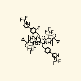 CC(C)(C(NC(=O)C1CC1)C(=O)NC(Cc1ccc(-c2cnn(C(F)F)c2)cc1)C(O)CN(Cc1c(F)cc(-c2ccn(C(F)F)n2)cc1F)NC(=O)C(NC(=O)C1CC1)C(C)(C)C(F)(F)F)C(F)(F)F